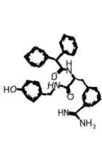 N=C(N)c1cccc(C[C@H](NC(=O)C(c2ccccc2)c2ccccc2)C(=O)NCc2ccc(O)cc2)c1